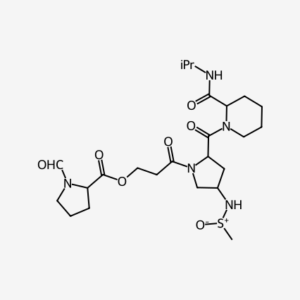 CC(C)NC(=O)C1CCCCN1C(=O)C1CC(N[S+](C)[O-])CN1C(=O)CCOC(=O)C1CCCN1C=O